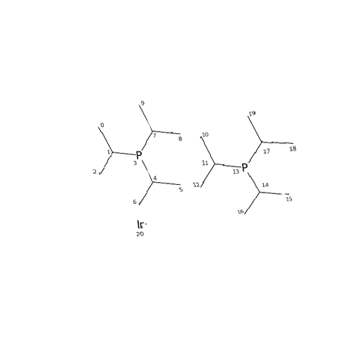 CC(C)P(C(C)C)C(C)C.CC(C)P(C(C)C)C(C)C.[Ir]